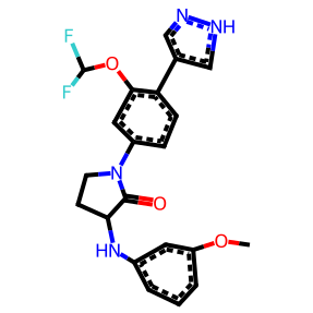 COc1cccc(NC2CCN(c3ccc(-c4cn[nH]c4)c(OC(F)F)c3)C2=O)c1